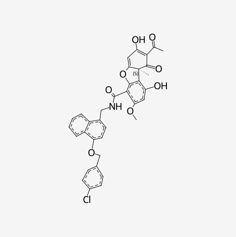 COc1cc(O)c2c(c1C(=O)NCc1ccc(OCc3ccc(Cl)cc3)c3ccccc13)OC1=CC(O)=C(C(C)=O)C(=O)[C@]12C